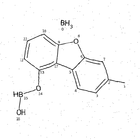 B.Cc1ccc2c(c1)oc1cccc(OBO)c12